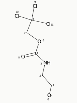 [O]CCNC(=O)OCC(Cl)(Cl)Cl